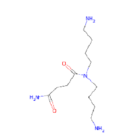 NCCCCN(CCCCN)C(=O)CCC(N)=O